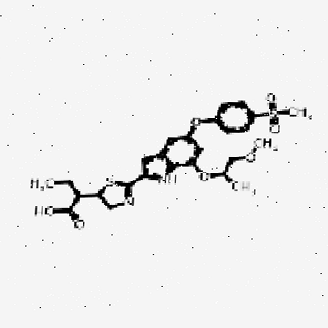 CCC(C(=O)O)C1CN=C(c2cc3cc(Oc4ccc(S(C)(=O)=O)cc4)cc(OC(C)COC)c3[nH]2)S1